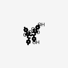 Cc1ccc(C(C)CC2C(=O)N(c3ccc(C)cc3)C(=O)C2CCC(CC2C(=O)N(c3ccc(O)cc3)C(=O)C2C)c2ccc(O)cc2)cc1